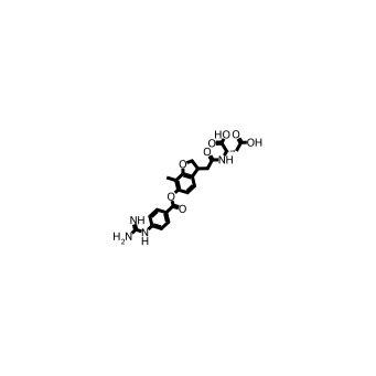 Cc1c(OC(=O)c2ccc(NC(=N)N)cc2)ccc2c1OCC2CC(=O)N[C@@H](CC(=O)O)C(=O)O